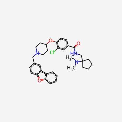 CN(C)C1(CNC(=O)c2ccc(OC3CCN(Cc4ccc5oc6ccccc6c5c4)CC3)c(Cl)c2)CCCC1